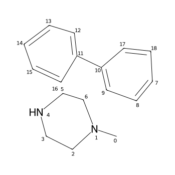 CN1CCNCC1.c1ccc(-c2ccccc2)cc1